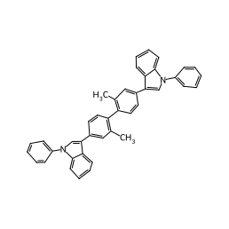 Cc1cc(-c2cn(-c3ccccc3)c3ccccc23)ccc1-c1ccc(-c2cn(-c3ccccc3)c3ccccc23)cc1C